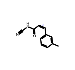 Cc1cccc(/C=C\C(=O)NC#N)c1